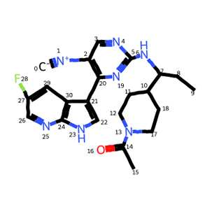 [C-]#[N+]c1cnc(NC(CC)C2CCN(C(C)=O)CC2)nc1-c1c[nH]c2ncc(F)cc12